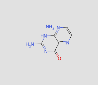 N.Nc1nc(=O)c2nccnc2[nH]1